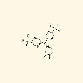 CC1CN(C(c2ccc(C(F)(F)F)cc2)c2ccc(C(F)(F)F)cn2)CCN1